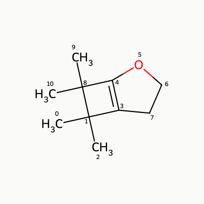 CC1(C)C2=C(OCC2)C1(C)C